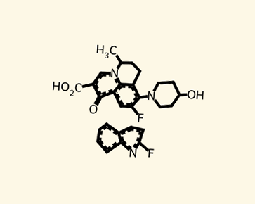 CC1CCc2c(N3CCC(O)CC3)c(F)cc3c(=O)c(C(=O)O)cn1c23.Fc1ccc2ccccc2n1